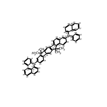 CC1(C)c2cc(N(c3ccccc3)c3cccc4ccccc34)ccc2-c2cc3c(cc21)-c1ccc2cc(N(c4ccccc4)c4cccc5ccccc45)ccc2c1C3(C)C